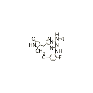 C=C1NC(=O)C/C1=C\c1cnn2c(NC3CC3)nc(Nc3cc(Cl)ccc3F)nc12